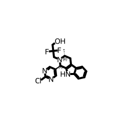 C[C@@H]1Cc2c([nH]c3ccccc23)[C@@H](c2cnc(Cl)nc2)N1CC(F)(F)CO